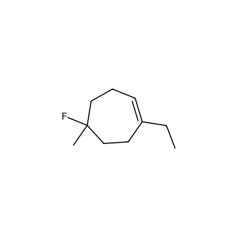 CCC1=CCCC(C)(F)CC1